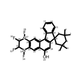 CC1(C)CC(C)(C)CC2(C1)c1ccccc1-c1c2cc(O)c2cc3c(cc12)N(F)C(F)C(F)N3F